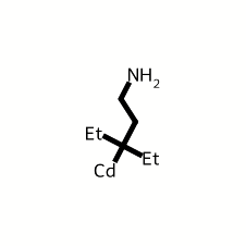 CC[C]([Cd])(CC)CCN